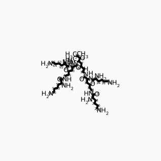 CC(C)(C)C(=O)C(CCCCNC(=O)C(CCCCNC(=O)C(N)CCCCN)NC(=O)C(N)CCCCN)NC(=O)C(CCCCNC(=O)C(N)CCCCN)NC(=O)C(N)CCCCN